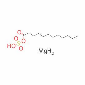 CCCCCCCCCCCC(=O)OS(=O)(=O)O.[MgH2]